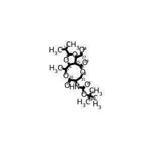 CC(C)C(=O)OC1C(C)OC(=O)C(NC(=O)OC(C)(C)C)COC(=O)C1CC=O